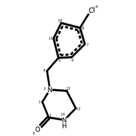 O=C1CN(Cc2ccc(Cl)cc2)CCN1